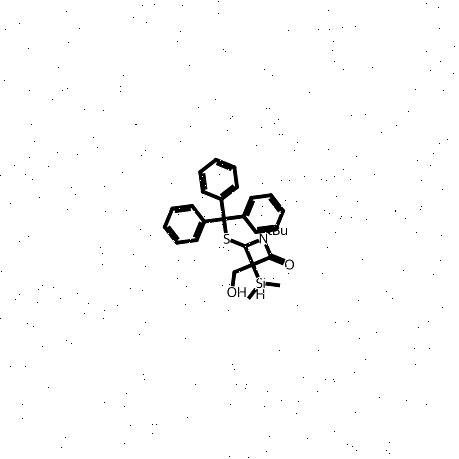 C[SiH](C)C1(CO)C(=O)N(C(C)(C)C)C1SC(c1ccccc1)(c1ccccc1)c1ccccc1